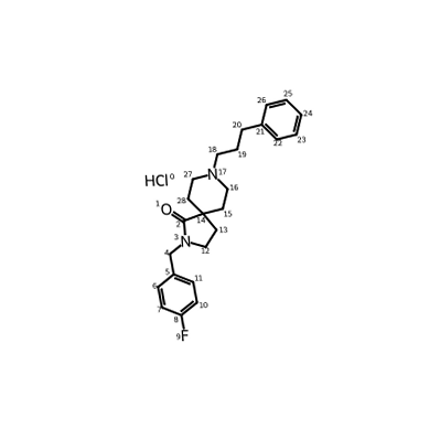 Cl.O=C1N(Cc2ccc(F)cc2)CCC12CCN(CCCc1ccccc1)CC2